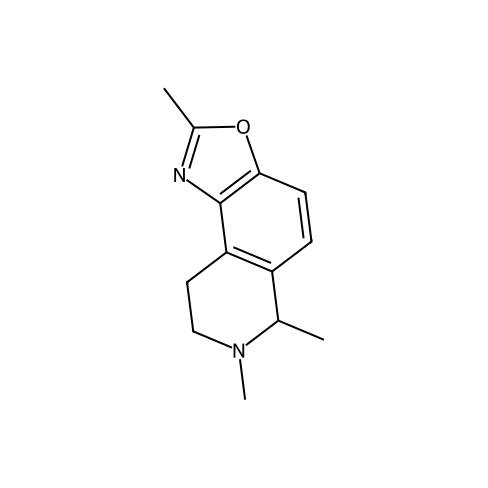 Cc1nc2c3c(ccc2o1)C(C)N(C)CC3